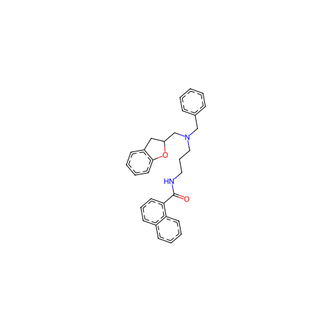 O=C(NCCCN(Cc1ccccc1)CC1Cc2ccccc2O1)c1cccc2ccccc12